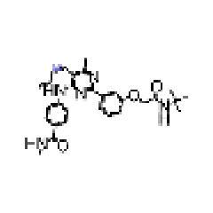 C=C/C=C\c1c(C)nc(-c2cccc(OCC(=O)NC(C)(C)C)c2)nc1Nc1ccc(C(=O)NC)cc1